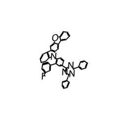 Fc1cc#cc(-c2cc(-c3nc(-c4ccccc4)nc(-c4ccccc4)n3)ccc2-n2c3c(c4cc5oc6ccccc6c5cc42)C=CCC3)c1